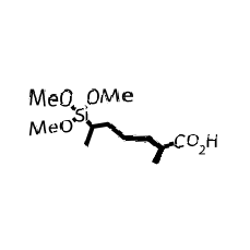 C=C(CCCC(C)[Si](OC)(OC)OC)C(=O)O